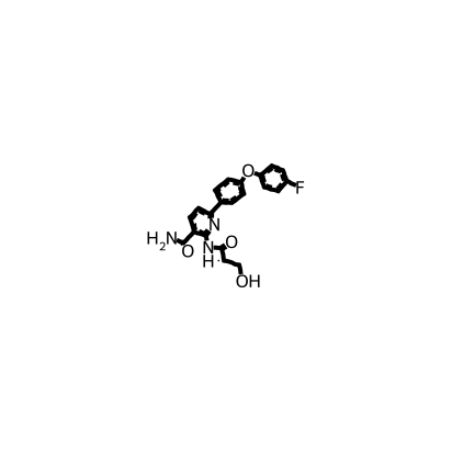 NC(=O)c1ccc(-c2ccc(Oc3ccc(F)cc3)cc2)nc1NC(=O)[CH]CO